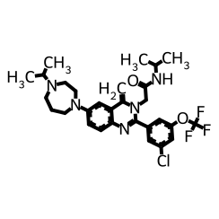 C=C1c2cc(N3CCCN(C(C)C)CC3)ccc2N=C(c2cc(Cl)cc(OC(F)(F)F)c2)N1CC(=O)NC(C)C